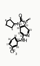 Cn1c(=O)n(C2CCCC2)c2cc(Nc3cccc(C(F)(F)F)c3)ncc21